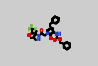 CC(C)C(C)(NC(=O)Cn1cc(Cc2ccccc2)cc(NC(=O)OCc2ccccc2)c1=O)C(=O)C(F)(F)F